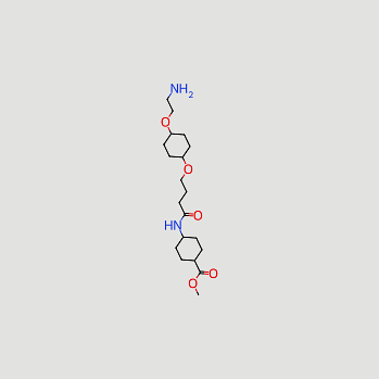 COC(=O)C1CCC(NC(=O)CCCOC2CCC(OCCN)CC2)CC1